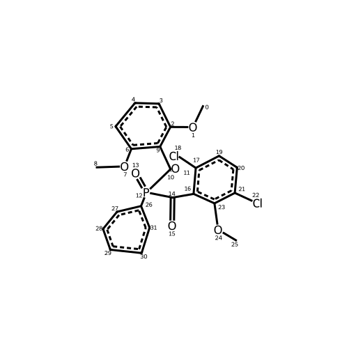 COc1cccc(OC)c1C(=O)P(=O)(C(=O)c1c(Cl)ccc(Cl)c1OC)c1ccccc1